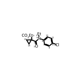 CCOC(=O)C1(C(=O)N(CC)c2ccc(Cl)cc2)CC1